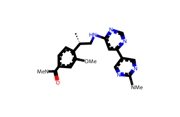 CNC(=O)c1ccc([C@H](C)CNc2cc(-c3cnc(NC)nc3)ncn2)c(OC)c1